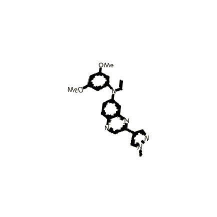 C=CN(c1cc(OC)cc(OC)c1)c1ccc2ncc(-c3cnn(C)c3)nc2c1